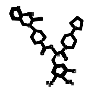 Nc1c(Cl)cc(C[C@@H](OC(=O)N2CCC(N3Cc4cccnc4NC3=O)CC2)C(=O)N2CCC(N3CCCC3)CC2)cc1C(F)(F)F